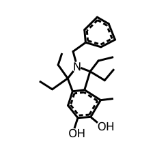 CCC1(CC)c2cc(O)c(O)c(C)c2C(CC)(CC)N1Cc1ccccc1